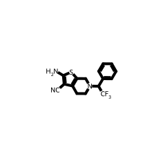 N#Cc1c(N)sc2c1CCN(C(c1ccccc1)C(F)(F)F)C2